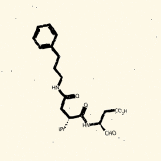 CC(C)[C@H](CC(=O)NCCCc1ccccc1)C(=O)N[C@H](C=O)CC(=O)O